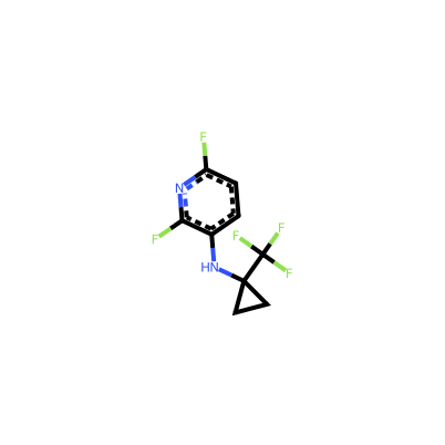 Fc1ccc(NC2(C(F)(F)F)CC2)c(F)n1